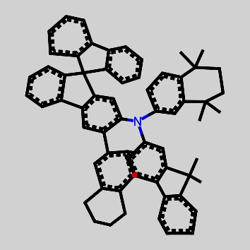 Cc1cc2c(cc1-c1cc3c(cc1N(c1ccc4c(c1)C(C)(C)CCC4(C)C)c1ccc4c(c1)C(C)(C)c1ccccc1-4)C1(c4ccccc4-c4ccccc41)c1ccccc1-3)CCCC2